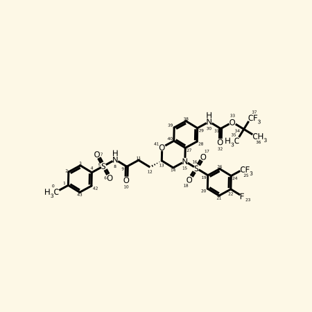 Cc1ccc(S(=O)(=O)NC(=O)CC[C@H]2CN(S(=O)(=O)c3ccc(F)c(C(F)(F)F)c3)c3cc(NC(=O)OC(C)(C)C(F)(F)F)ccc3O2)cc1